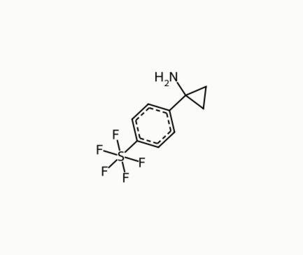 NC1(c2ccc(S(F)(F)(F)(F)F)cc2)CC1